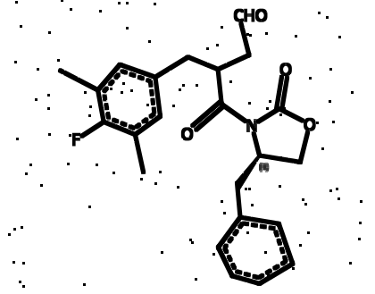 Cc1cc(CC(CC=O)C(=O)N2C(=O)OC[C@H]2Cc2ccccc2)cc(C)c1F